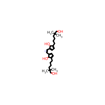 CC(C)(CO)CCCCC1=CC=C(/C=C\C2=CC=C(CCCCC(C)(C)CO)C2O)C1O